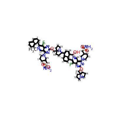 Cc1cccc2cccc(-c3ncc4c(N5CCCC(CS(N)(=O)=O)C5)nc(OCC56CCCN5C(c5ccc(CO)c7c(-c8ncc9c(N%10CCCC(CS(N)(=O)=O)C%10)nc(OCC%10%11CCCN%10CCC%11)nc9c8F)cccc57)CC6)nc4c3F)c12